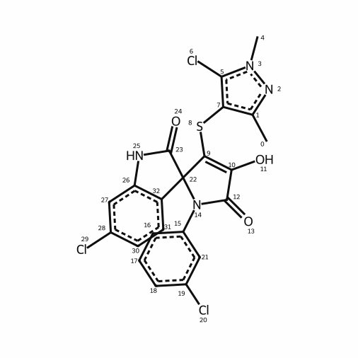 Cc1nn(C)c(Cl)c1SC1=C(O)C(=O)N(c2cccc(Cl)c2)C12C(=O)Nc1cc(Cl)ccc12